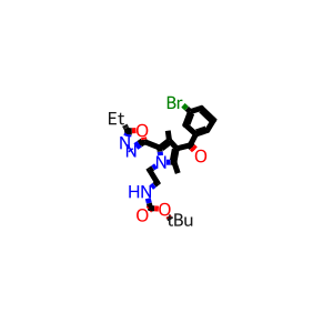 CCc1nnc(-c2c(C)c(C(=O)c3cccc(Br)c3)c(C)n2CCNC(=O)OC(C)(C)C)o1